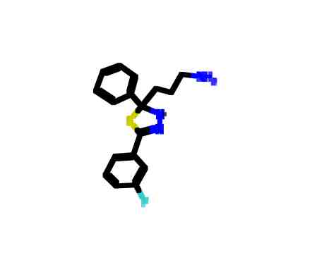 NCCCC1(c2ccccc2)[N]N=C(c2cccc(F)c2)S1